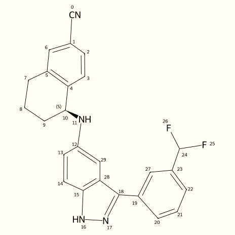 N#Cc1ccc2c(c1)CCC[C@@H]2Nc1ccc2[nH]nc(-c3cccc(C(F)F)c3)c2c1